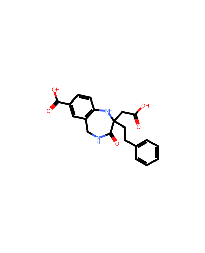 O=C(O)CC1(CCc2ccccc2)Nc2ccc(C(=O)O)cc2CNC1=O